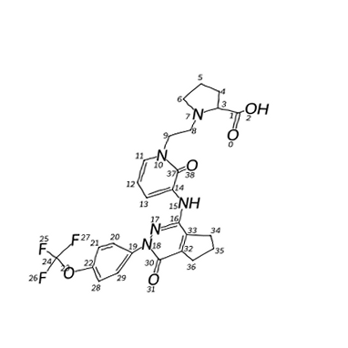 O=C(O)C1CCCN1CCn1cccc(Nc2nn(-c3ccc(OC(F)(F)F)cc3)c(=O)c3c2CCC3)c1=O